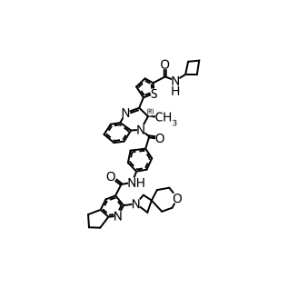 C[C@@H]1C(c2ccc(C(=O)NC3CCC3)s2)=Nc2ccccc2N1C(=O)c1ccc(NC(=O)c2cc3c(nc2N2CC4(CCOCC4)C2)CCC3)cc1